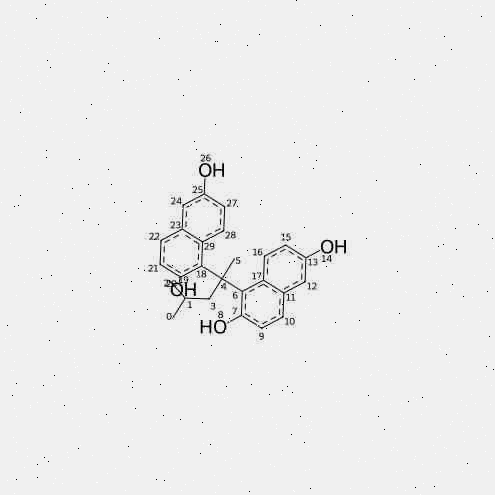 CC(C)CC(C)(c1c(O)ccc2cc(O)ccc12)c1c(O)ccc2cc(O)ccc12